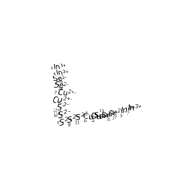 [Cu+2].[Cu+2].[Cu+2].[Cu+2].[In+3].[In+3].[In+3].[In+3].[S-2].[S-2].[S-2].[S-2].[S-2].[Se-2].[Se-2].[Se-2].[Se-2].[Se-2]